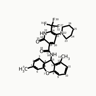 Cc1ccc2c(c1)Oc1cccc(C)c1C2NC(=O)c1cc(N2CCCCC2)c(C(F)(F)F)[nH]c1=O